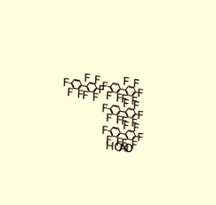 Fc1ccc(-c2c(F)c(F)c(F)c(F)c2F)c(F)c1F.Fc1ccc(-c2c(F)c(F)c(F)c(F)c2F)c(F)c1F.Fc1ccc(-c2c(F)c(F)c(F)c(F)c2F)c(F)c1F.Fc1ccc(-c2c(F)c(F)c(F)c(F)c2F)c(F)c1F.[O]=[Al][OH]